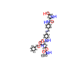 CC(C)(C)NC(=O)O[C@@H]1C[C@@H](C(=O)Nc2ccc(/C=C/c3ccc(NC(=O)[C@@H]4C[C@@H](O)CN4)cc3)cc2)N(C(=O)OCc2ccccc2)C1